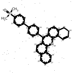 CP(C)(=O)c1ccc(-c2ccc(-c3c4ccc5c(c4nc4c3ccc3ccccc34)C=CCC5)cc2)cc1